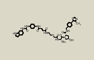 Cc1ncsc1-c1ccc(CNC(=O)[C@@H]2C[C@@H](O)CN2C(=O)[C@@H](NC(=O)COCCNC(=O)/C=C/C(=O)Nc2ccc(NC(=O)Nc3ccc4cc[nH]c4c3)cc2)C(C)(C)C)cc1